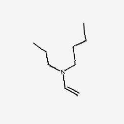 C=CN(CCC)CCCC